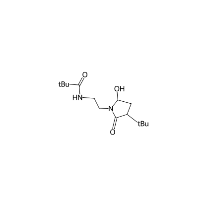 CC(C)(C)C(=O)NCCN1C(=O)C(C(C)(C)C)CC1O